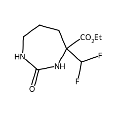 CCOC(=O)C1(C(F)F)CCCNC(=O)N1